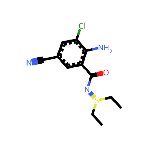 CCS(CC)=NC(=O)c1cc(C#N)cc(Cl)c1N